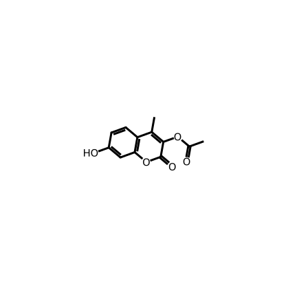 CC(=O)Oc1c(C)c2ccc(O)cc2oc1=O